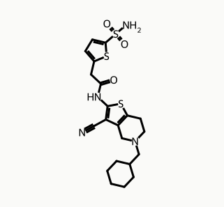 N#Cc1c(NC(=O)Cc2ccc(S(N)(=O)=O)s2)sc2c1CN(CC1CCCCC1)CC2